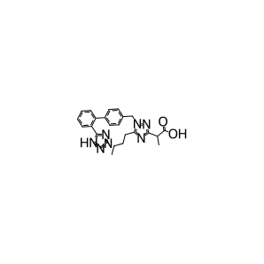 CCCCc1nc(C(C)C(=O)O)nn1Cc1ccc(-c2ccccc2-c2nnn[nH]2)cc1